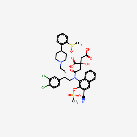 C[S+]([O-])c1ccccc1C1CCN(CC[C@H](CN(C(=O)CC(O)(CC(=O)O)C(=O)O)c2c(OS(C)(=O)=O)c(C#N)cc3ccccc23)c2ccc(Cl)c(Cl)c2)CC1